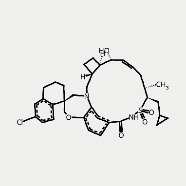 C[C@H]1C/C=C\[C@@H](O)[C@@H]2CC[C@H]2CN2C[C@@]3(CCCc4cc(Cl)ccc43)COc3ccc(cc32)C(=O)NS(=O)(=O)[C@@H]1CC1CC1